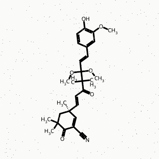 COc1cc(C=CC(OC)(OC)C(C)(C)C(=O)C=C[C@@]2(C)C=C(C#N)C(=O)C(C)(C)C2)ccc1O